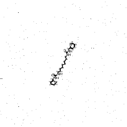 O=C(NCCCCCCCCCNC(=O)NCc1ccccn1)NCc1ccccn1